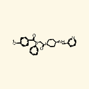 COc1ccc(C(=O)N(CC(=O)N2CCC(NCc3cccnc3)CC2)c2ccccc2)cc1